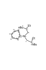 CCCCC(CC)CN(CC(CC)CCCC)c1cc[c]cc1